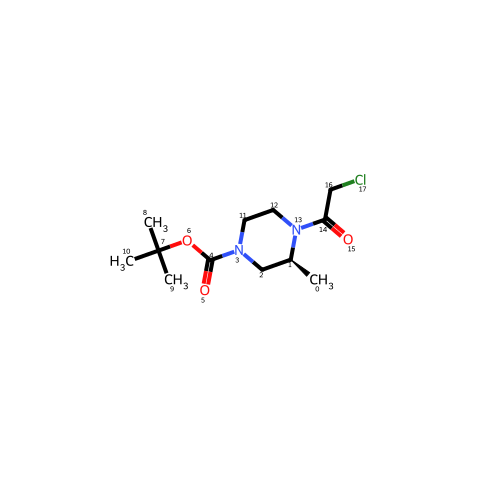 C[C@H]1CN(C(=O)OC(C)(C)C)CCN1C(=O)CCl